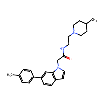 Cc1ccc(-c2ccc3ccn(CC(=O)NCCN4CCC(C)CC4)c3c2)cc1